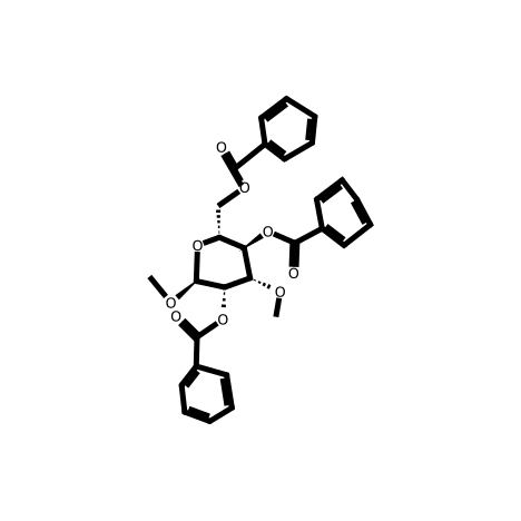 CO[C@H]1O[C@H](COC(=O)c2ccccc2)[C@@H](OC(=O)c2ccccc2)[C@H](OC)[C@@H]1OC(=O)c1ccccc1